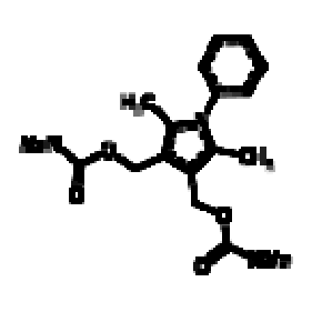 CNC(=O)OCc1c(COC(=O)NC)c(C)n(-c2ccccc2)c1C